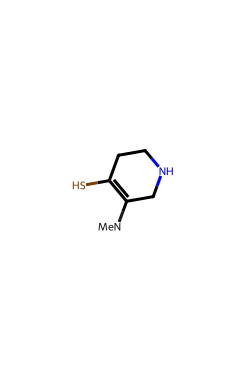 CNC1=C(S)CCNC1